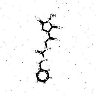 O=C(NCC(=O)C1CC(=O)N(O)C1=O)OCc1ccccc1